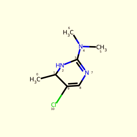 CC1NC(N(C)C)=NC=C1Cl